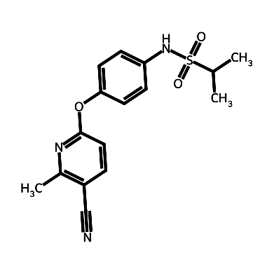 Cc1nc(Oc2ccc(NS(=O)(=O)C(C)C)cc2)ccc1C#N